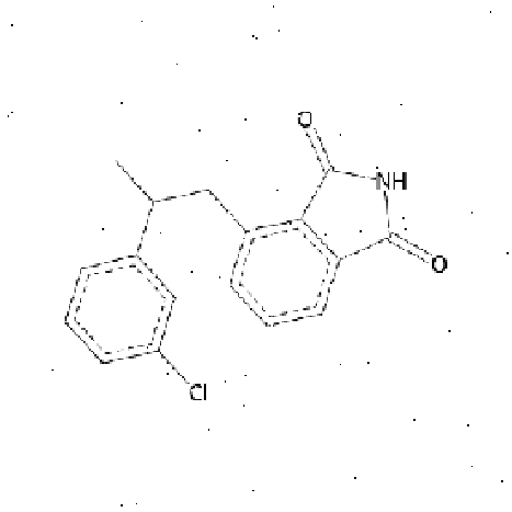 CC(Cc1cccc2c1C(=O)NC2=O)c1cccc(Cl)c1